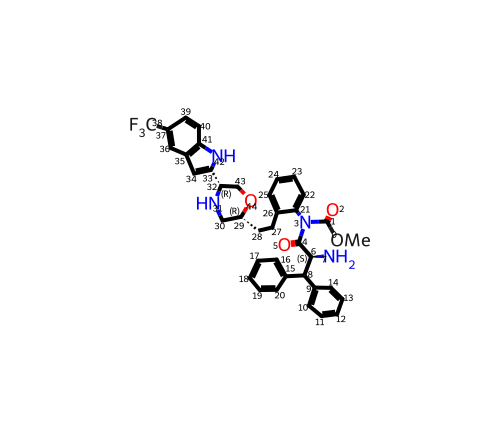 COC(=O)N(C(=O)[C@@H](N)C(c1ccccc1)c1ccccc1)c1ccccc1CC[C@@H]1CN[C@H](c2cc3cc(C(F)(F)F)ccc3[nH]2)CO1